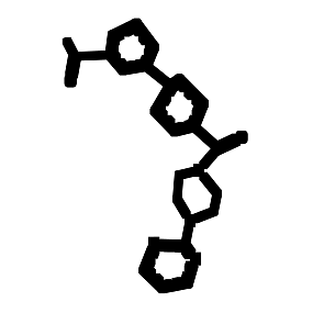 CC(=O)c1cccc(-c2ccc(C(=O)N3CCN(c4ncccn4)CC3)cc2)c1